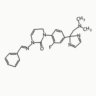 CN(C)CC1(c2ccc(N3CC=CN(N=Cc4ccccc4)C3=O)c(F)c2)N=CC=N1